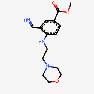 COC(=O)c1ccc(NCCN2CCOCC2)c(C=N)c1